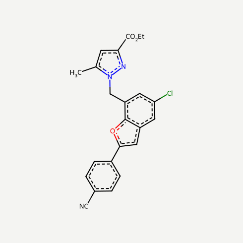 CCOC(=O)c1cc(C)n(Cc2cc(Cl)cc3cc(-c4ccc(C#N)cc4)oc23)n1